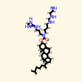 CC(C)CCCC(C)C1CCC2C3CC=C4CC(OC(=O)N(CCCCNCNCC=N)CCCNC5NCN5)CCC4(C)C3CCC12C